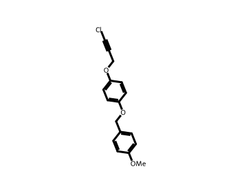 COc1ccc(COc2ccc(OCC#CCl)cc2)cc1